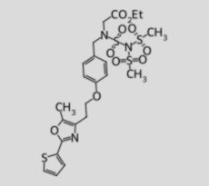 CCOC(=O)CN(Cc1ccc(OCCc2nc(-c3cccs3)oc2C)cc1)S(=O)(=O)N(S(C)(=O)=O)S(C)(=O)=O